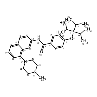 CC(C)[Si](Oc1ccc(C(=O)Nc2ccc3cccc(N4CCN(C)CC4)c3c2)cc1)(C(C)C)C(C)C